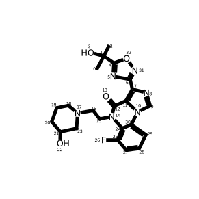 CC(C)(O)c1nc(-c2ncn3c2c(=O)n(CCN2CCCC(O)C2)c2c(F)cccc23)no1